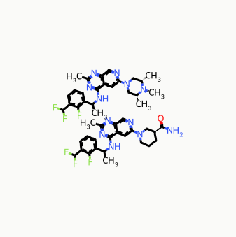 Cc1nc(NC(C)c2cccc(C(F)F)c2F)c2cc(N3CCC[C@H](C(N)=O)C3)ncc2n1.Cc1nc(NC(C)c2cccc(C(F)F)c2F)c2cc(N3C[C@@H](C)N(C)[C@@H](C)C3)ncc2n1